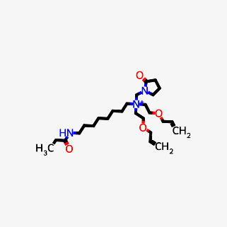 C=CCOCC[N+](CCCCCCCCNC(=O)CC)(CCOCC=C)CN1CCCC1=O